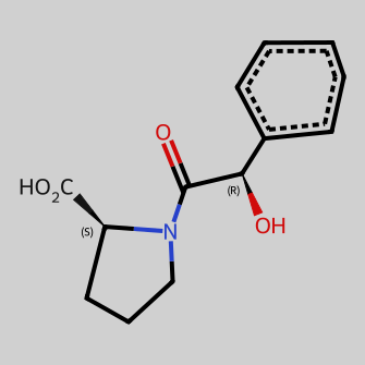 O=C(O)[C@@H]1CCCN1C(=O)[C@H](O)c1ccccc1